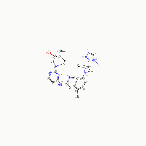 CO[C@@H]1CCN(c2nccc(Nc3cc4c(C(C)C)ccc(N5C[C@@H](c6nncn6C)[C@@H]5C)c4cn3)n2)C[C@H]1O